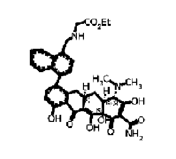 CCOC(=O)CNCc1ccc(-c2ccc(O)c3c2C[C@H]2C[C@H]4[C@H](N(C)C)C(O)=C(C(N)=O)C(=O)[C@@]4(O)C(O)=C2C3=O)c2ccccc12